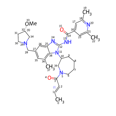 C/C=C/C(=O)N1CCCCC(n2c(NC(=O)c3cc(C)nc(C)c3)nc3cc(CN4CC[C@H](OC)C4)cc(C)c32)C1